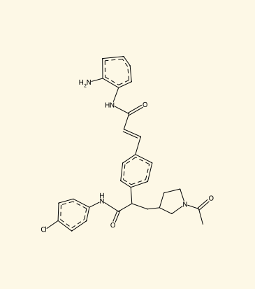 CC(=O)N1CCC(CC(C(=O)Nc2ccc(Cl)cc2)c2ccc(/C=C/C(=O)Nc3ccccc3N)cc2)C1